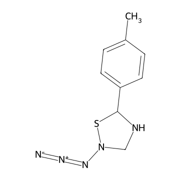 Cc1ccc(C2NCN(N=[N+]=[N-])S2)cc1